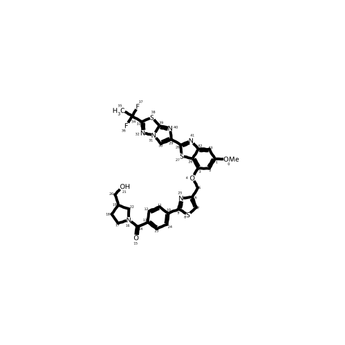 COc1cc(OCc2csc(-c3ccc(C(=O)N4CCC(CO)C4)cc3)n2)c2sc(-c3cn4nc(C(C)(F)F)sc4n3)nc2c1